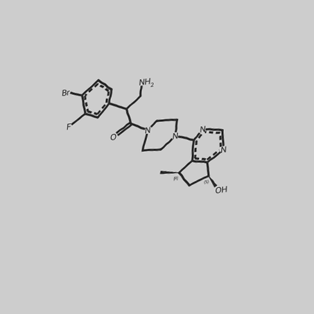 C[C@@H]1C[C@H](O)c2ncnc(N3CCN(C(=O)C(CN)c4ccc(Br)c(F)c4)CC3)c21